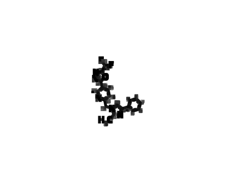 Cc1nc(-c2ccccc2)cn1Cc1ccc(-c2nnc(C(F)F)o2)cn1